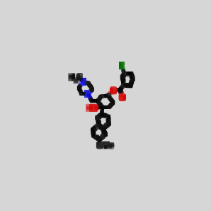 COc1ccc2cc(C3(O)CCC(OC(=O)c4cccc(F)c4)CC3CN3CCN(C)CC3)ccc2c1